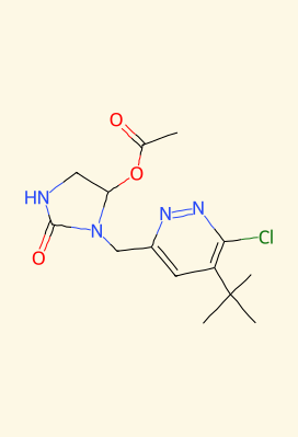 CC(=O)OC1CNC(=O)N1Cc1cc(C(C)(C)C)c(Cl)nn1